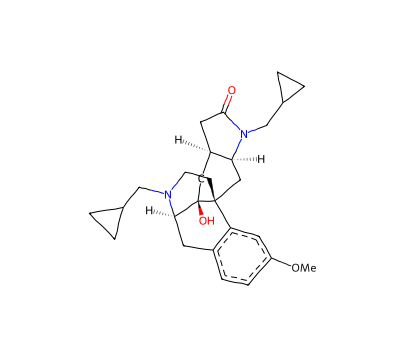 COc1ccc2c(c1)[C@]13CCN(CC4CC4)[C@H](C2)[C@]1(O)C[C@H]1CC(=O)N(CC2CC2)[C@H]1C3